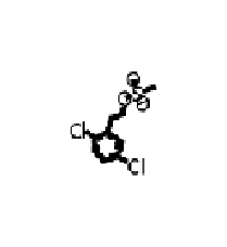 CS(=O)(=O)OCCc1cc(Cl)ccc1Cl